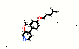 CC(C)CCCOc1ccc2c(c1)C(C)Oc1cnccc1-2